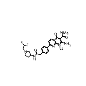 CCn1c(N)c(C(=O)NC)c(=O)c2ccc(-c3ccc(CC(=O)NC4CCN(CC(F)F)C4)cc3)nc21